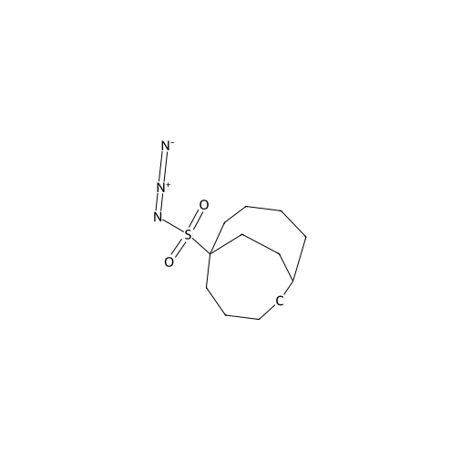 [N-]=[N+]=NS(=O)(=O)C12CCCCC(CCCC1)CC2